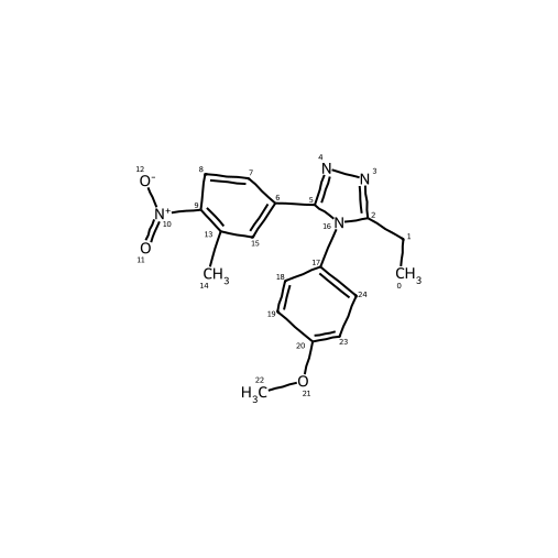 CCc1nnc(-c2ccc([N+](=O)[O-])c(C)c2)n1-c1ccc(OC)cc1